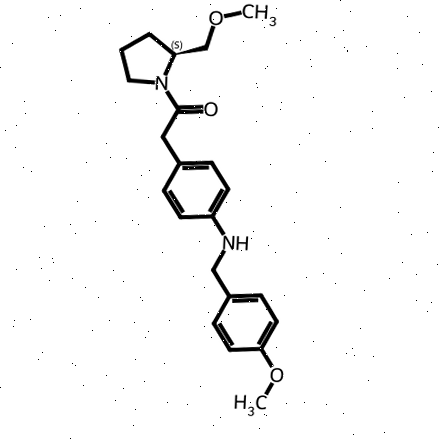 COC[C@@H]1CCCN1C(=O)Cc1ccc(NCc2ccc(OC)cc2)cc1